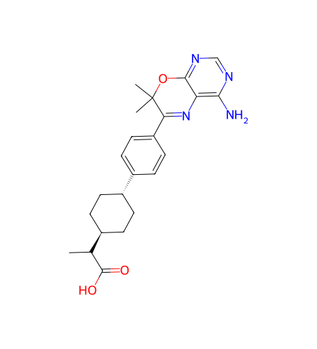 CC(C(=O)O)[C@H]1CC[C@H](c2ccc(C3=Nc4c(N)ncnc4OC3(C)C)cc2)CC1